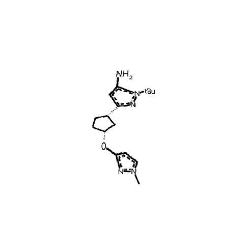 Cn1ccc(O[C@@H]2CC[C@H](c3cc(N)n(C(C)(C)C)n3)C2)n1